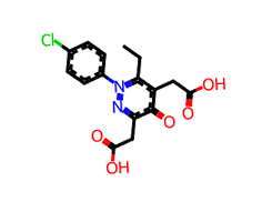 CCc1c(CC(=O)O)c(=O)c(CC(=O)O)nn1-c1ccc(Cl)cc1